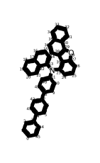 c1ccc(-c2ccc(-c3ccc(N(c4cccc5ccccc45)c4cccc5oc6c7ccccc7ccc6c45)cc3)cc2)cc1